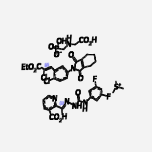 C/C(=N\NC(=O)Nc1cc(F)cc(F)c1)c1ncccc1C(=O)O.CCOC(=O)/C(Cl)=C/c1cc(N2C(=O)C3=C(CCCC3)C2=O)ccc1Cl.C[S+](C)C.O=C(O)CNCP(=O)([O-])O